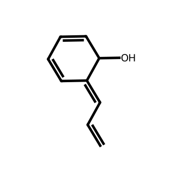 C=CC=C1C=CC=CC1O